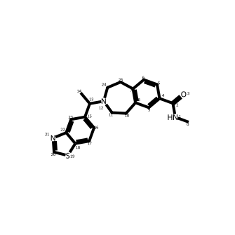 CNC(=O)c1ccc2c(c1)CCN(C(C)c1ccc3scnc3c1)CC2